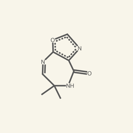 CC1(C)C=Nc2ocnc2C(=O)N1